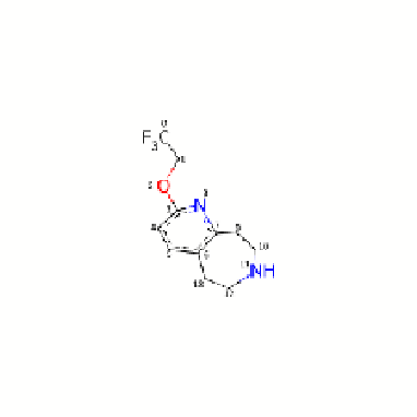 FC(F)(F)COc1ccc2c(n1)CCNCC2